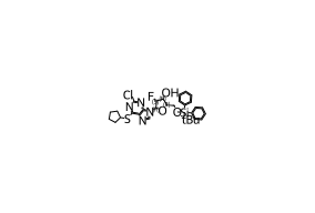 CC(C)(C)[Si](OC[C@H]1O[C@@H](n2cnc3c(SC4CCCC4)nc(Cl)nc32)[C@@H](F)[C@@H]1O)(c1ccccc1)c1ccccc1